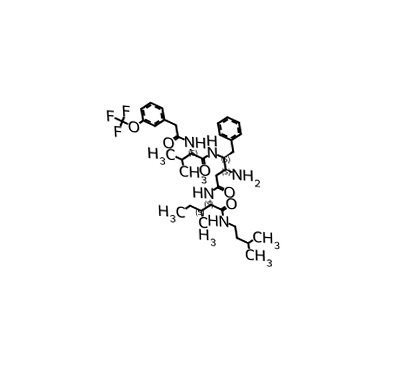 CC[C@H](C)[C@H](NC(=O)C[C@H](N)[C@H](Cc1ccccc1)NC(=O)[C@@H](NC(=O)Cc1cccc(OC(F)(F)F)c1)C(C)C)C(=O)NCCC(C)C